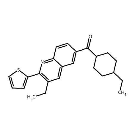 CCc1cc2cc(C(=O)C3CCC(CC)CC3)ccc2nc1-c1cccs1